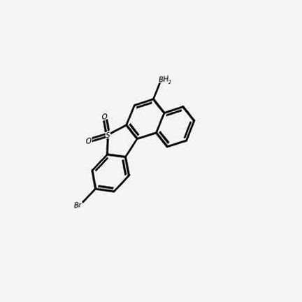 Bc1cc2c(c3ccccc13)-c1ccc(Br)cc1S2(=O)=O